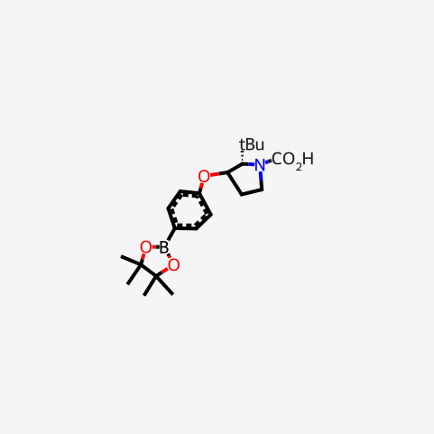 CC(C)(C)[C@H]1C(Oc2ccc(B3OC(C)(C)C(C)(C)O3)cc2)CCN1C(=O)O